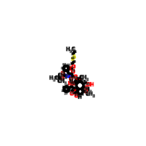 CCCSSCCOC(=O)O[C@@H](C(=O)O[C@H]1C[C@@]2(O)[C@@H](CC(=O)c3ccccc3)[C@@H]3[C@]4(OC(C)=O)CO[C@@H]4C[C@H](OC)[C@@]3(C)C(=O)[C@H](CO)C(=C1C)C2(C)C)[C@@H](NC(=O)OC(C)(C)C)c1ccccc1